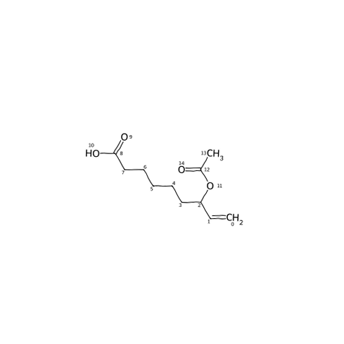 C=CC(CCCCCC(=O)O)OC(C)=O